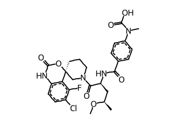 CO[C@H](C)C[C@H](NC(=O)c1ccc(N(C)C(=O)O)cc1)C(=O)N1CCC[C@@]2(C1)OC(=O)Nc1ccc(Cl)c(F)c12